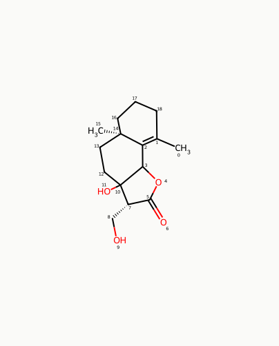 CC1=C2C3OC(=O)[C@H](CO)C3(O)CC[C@@]2(C)CCC1